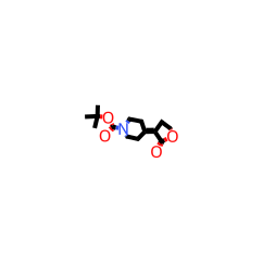 CC(C)(C)OC(=O)N1CCC(=C2CCOC2=O)CC1